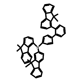 CC1(C)c2ccccc2-c2ccc(N(c3ccc(-c4ccccc4-c4cccc5c4C(C)(C)c4ccccc4-5)cc3)c3cccc4c3-c3ccccc3C4(C)C)cc21